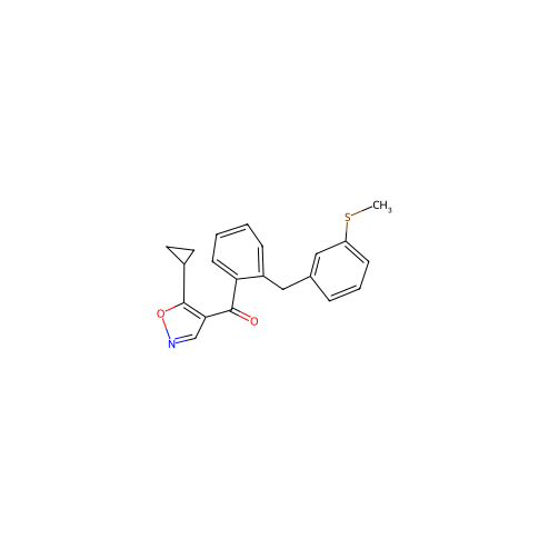 CSc1cccc(Cc2ccccc2C(=O)c2cnoc2C2CC2)c1